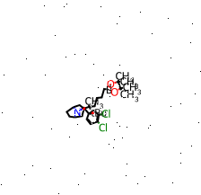 CC(C)(C)C(C)(CCCCB1OC(C)(C)C(C)(C)O1)C1CC2CCC(C1)N2Cc1ccc(Cl)c(Cl)c1